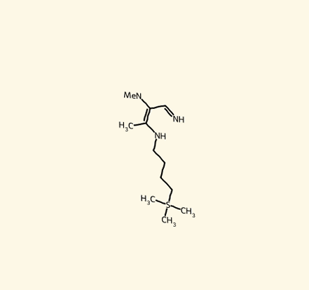 CN/C(C=N)=C(\C)NCCCCS(C)(C)C